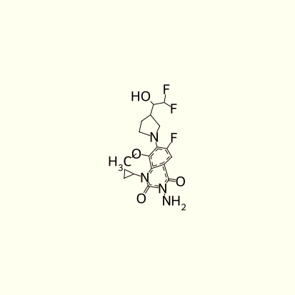 COc1c(N2CCC(C(O)C(F)F)C2)c(F)cc2c(=O)n(N)c(=O)n(C3CC3)c12